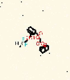 CC(F)(F)COC(=O)C12CC3CC(CC(C(=O)OCC(=O)OC45CC6CC(C4)C(=O)C(C6)C5)(C3)C1)C2